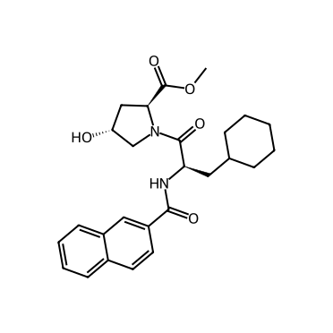 COC(=O)[C@@H]1C[C@@H](O)CN1C(=O)[C@@H](CC1CCCCC1)NC(=O)c1ccc2ccccc2c1